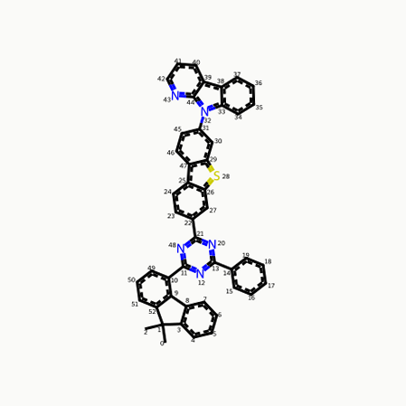 CC1(C)c2ccccc2-c2c(-c3nc(-c4ccccc4)nc(-c4ccc5c(c4)sc4cc(-n6c7ccccc7c7cccnc76)ccc45)n3)cccc21